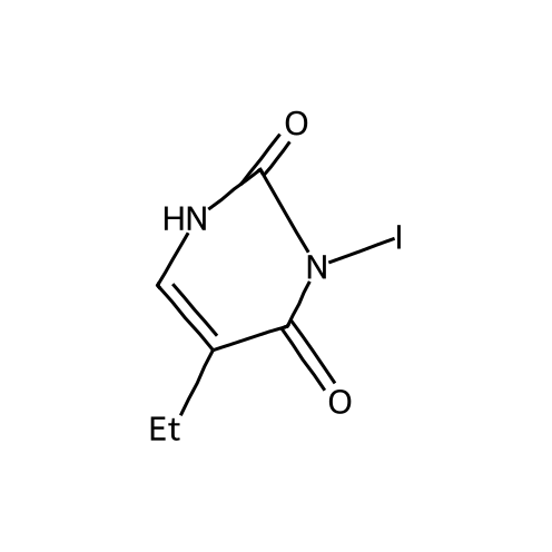 CCc1c[nH]c(=O)n(I)c1=O